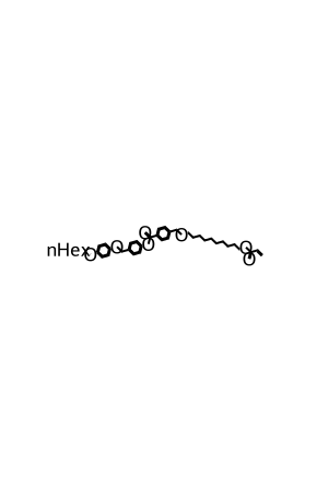 C=CC(=O)OCCCCCCCCCCOCc1ccc(C(=O)Oc2ccc(COc3ccc(OCCCCCC)cc3)cc2)cc1